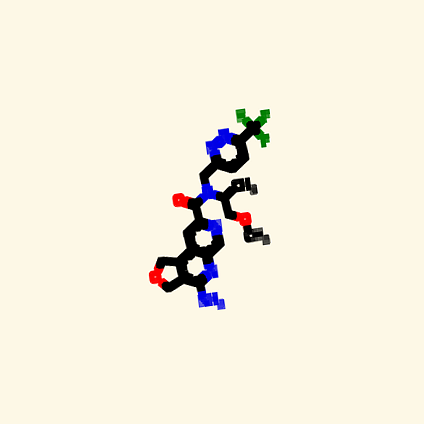 COCC(C)N(Cc1ccc(C(F)(F)F)nn1)C(=O)c1cc2c3c(c(N)nc2cn1)COC3